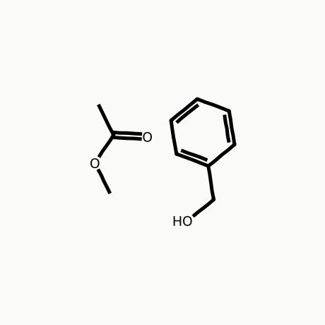 COC(C)=O.OCc1ccccc1